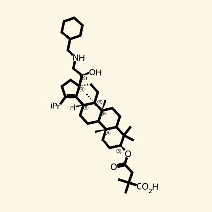 CC(C)C1=C2[C@H]3CCC4[C@@]5(C)CC[C@H](OC(=O)CC(C)(C)C(=O)O)C(C)(C)C5CC[C@@]4(C)[C@]3(C)CC[C@@]2([C@H](O)CNCC2CCCCC2)CC1